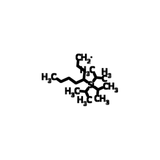 [CH2]CCC(CCCC)[Si](C(C)C)(C(C)C)C(C)C